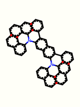 c1ccc(-c2cc3cc(-c4ccccc4)c(N(c4cccc5ccccc45)c4cccc5ccccc45)cc3cc2N(c2cccc3ccccc23)c2cccc3ccccc23)cc1